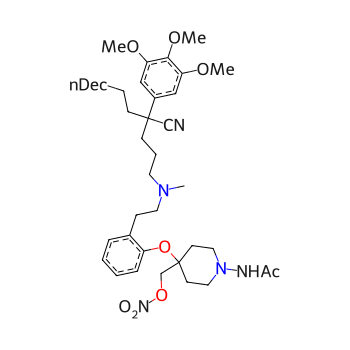 CCCCCCCCCCCCC(C#N)(CCCN(C)CCc1ccccc1OC1(CO[N+](=O)[O-])CCN(NC(C)=O)CC1)c1cc(OC)c(OC)c(OC)c1